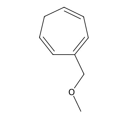 COCC1=CC=CCC=C1